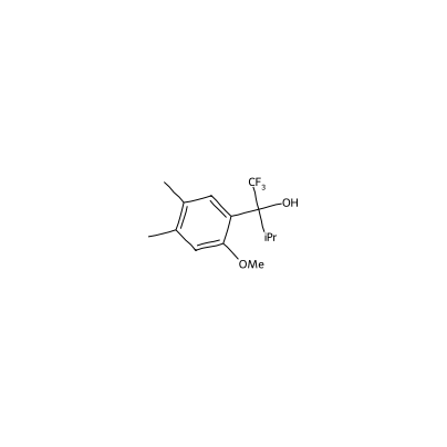 COc1cc(C)c(C)cc1C(O)(C(C)C)C(F)(F)F